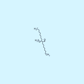 CCCCCCCCC(C=O)C(CCCCCCCC)OC